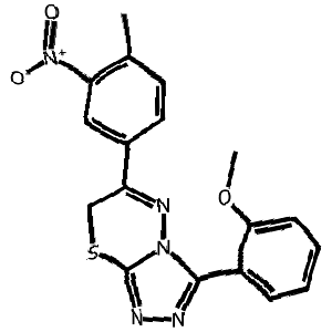 COc1ccccc1-c1nnc2n1N=C(c1ccc(C)c([N+](=O)[O-])c1)CS2